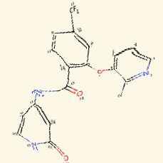 Cc1ncccc1Oc1cc(C(F)(F)F)ccc1C(=O)Nc1cc[nH]c(=O)c1